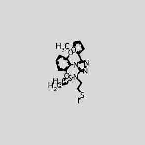 C=CSN(CCSI)c1nnc(-c2ccco2)n1-c1c(OC)cccc1OC